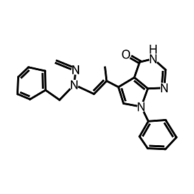 C=NN(/C=C(\C)c1cn(-c2ccccc2)c2nc[nH]c(=O)c12)Cc1ccccc1